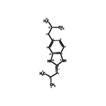 CC(C)/C=C1/Nc2ccc(CC(C)C)cc2N1